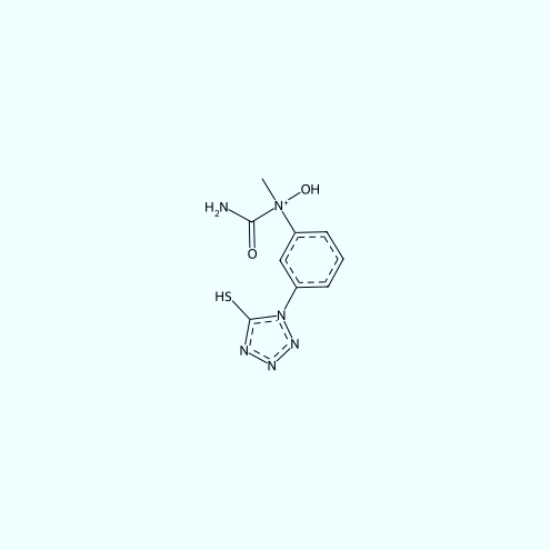 C[N+](O)(C(N)=O)c1cccc(-n2nnnc2S)c1